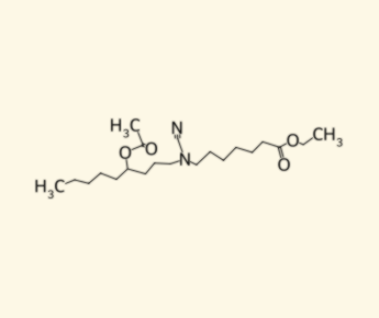 CCCCCC(CCCN(C#N)CCCCCCC(=O)OCC)OC(C)=O